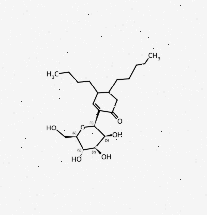 CCCCCC1CC(=O)C([C@@H]2O[C@H](CO)[C@@H](O)[C@H](O)[C@@H]2O)=CC1CCCC